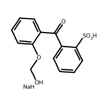 O=C(c1ccccc1OCO)c1ccccc1S(=O)(=O)O.[NaH]